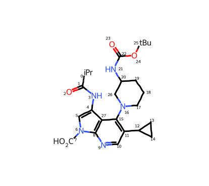 CC(C)C(=O)Nc1cn(C(=O)O)c2ncc(C3CC3)c(N3CCCC(NC(=O)OC(C)(C)C)C3)c12